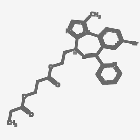 CCC(=O)OCCC(=O)OCC[C@@H]1N=C(c2ccccn2)c2cc(Br)ccc2-n2c(C)cnc21